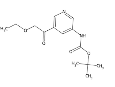 CCOCC(=O)c1cncc(NC(=O)OC(C)(C)C)c1